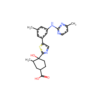 Cc1cc(Nc2nccc(C)n2)cc(-c2cnc(C3(O)CCC(C(=O)O)CC3C)s2)c1